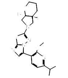 COc1nc(C(C)C)ccc1-c1cnc2sc(N3C[C@H]4CCCO[C@@H]4C3)nn12